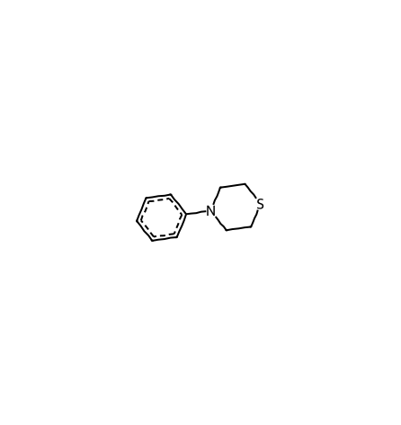 c1ccc(N2CCSCC2)cc1